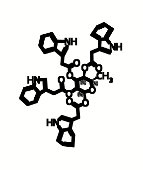 C[C@@H]1O[C@@H](OC(=O)Cc2c[nH]c3ccccc23)C(OC(=O)Cc2c[nH]c3ccccc23)=C(OC(=O)Cc2c[nH]c3ccccc23)[C@H]1OC(=O)Cc1c[nH]c2ccccc12